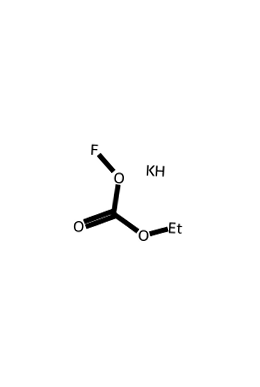 CCOC(=O)OF.[KH]